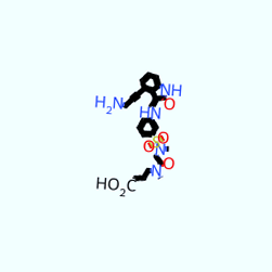 CN(CCCC(=O)O)C(=O)CN(C)S(=O)(=O)c1cccc(N/C=C2\C(=O)Nc3cccc(C#CCN)c32)c1